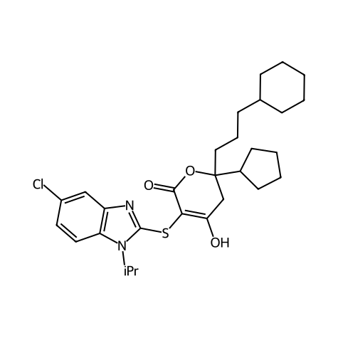 CC(C)n1c(SC2=C(O)CC(CCCC3CCCCC3)(C3CCCC3)OC2=O)nc2cc(Cl)ccc21